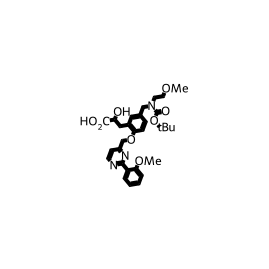 COCCN(Cc1ccc(OCc2ccnc(-c3ccccc3OC)n2)c(CC(O)C(=O)O)c1)C(=O)OC(C)(C)C